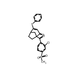 CS(=O)(=O)c1ccc(C(=O)C23CCC(C2)C(Sc2ccccc2)=CC3=O)c(Cl)c1